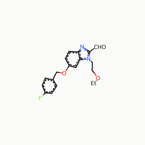 CCOCCn1c(C=O)nc2ccc(OCc3ccc(F)cc3)cc21